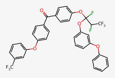 O=C(c1ccc(Oc2cccc(C(F)(F)F)c2)cc1)c1ccc(OC(F)(Oc2cccc(Oc3ccccc3)c2)C(F)C(F)(F)F)cc1